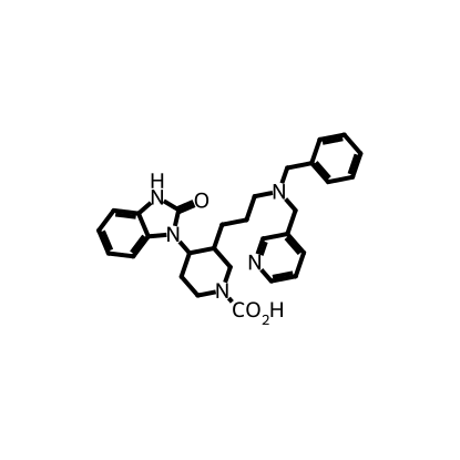 O=C(O)N1CCC(n2c(=O)[nH]c3ccccc32)C(CCCN(Cc2ccccc2)Cc2cccnc2)C1